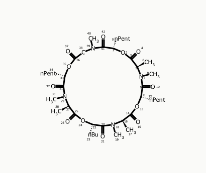 CCCCC[C@@H]1OC(=O)[C@@H](C)N(C)C(=O)[C@H](CCCCC)OC(=O)[C@@H](C)N(C)C(=O)[C@H](CCCC)OC(=O)[C@@H](C)N(C)C(=O)[C@H](CCCCC)OC(=O)CN(C)C1=O